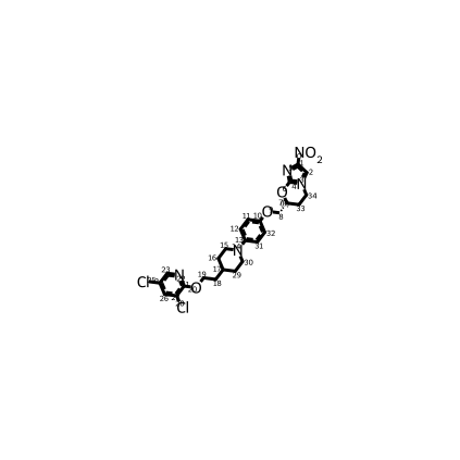 O=[N+]([O-])c1cn2c(n1)O[C@@H](COc1ccc(N3CCC(CCOc4ncc(Cl)cc4Cl)CC3)cc1)CC2